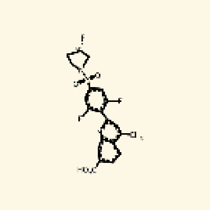 Cc1cc(-c2c(F)cc(S(=O)(=O)N3CC[C@H](F)C3)cc2F)nc2cc(C(=O)O)ccc12